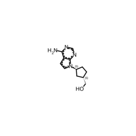 Nc1ncnc2c1ccn2[C@H]1CC[C@H](CO)C1